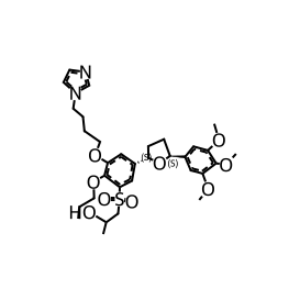 CCCOc1c(OCCCCn2ccnc2)cc([C@@H]2CC[C@@H](c3cc(OC)c(OC)c(OC)c3)O2)cc1S(=O)(=O)CC(C)O